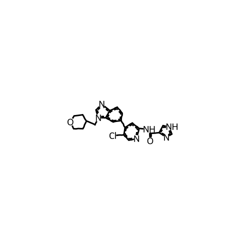 O=C(Nc1cc(-c2ccc3ncn(CC4CCOCC4)c3c2)c(Cl)cn1)c1c[nH]cn1